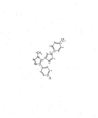 Cn1nnc(-c2ccc(F)cc2)c1-c1cn(-c2ccc(C(F)(F)F)cn2)cn1